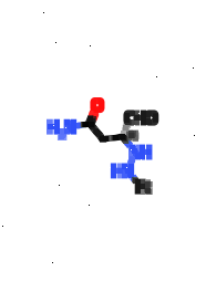 CCNN[C@@H](C=O)CC(N)=O